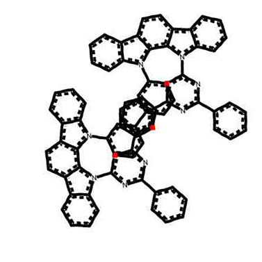 c1ccc(-c2nc(-c3ccccc3)nc(-n3c4ccccc4c4ccc5c6ccccc6n(-c6cccc(-c7cccc(-n8c9ccccc9c9ccc%10c%11ccccc%11n(-c%11nc(-c%12ccccc%12)nc(-c%12ccccc%12)n%11)c%10c98)c7)c6)c5c43)n2)cc1